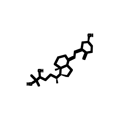 C=C1CC[C@H](O)C/C1=C/C=C1\CCC[C@@]2(C)C1CC[C@@H]2[C@H](C)CCC(O)C(C)(C)O